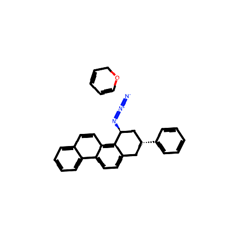 C1=CCOC=C1.[N-]=[N+]=N[C@H]1C[C@H](c2ccccc2)Cc2ccc3c(ccc4ccccc43)c21